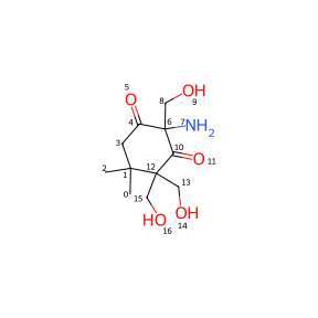 CC1(C)CC(=O)C(N)(CO)C(=O)C1(CO)CO